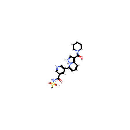 CS(=O)(=O)NC(=O)c1cncc(-c2cccc3c(C(=O)N4CCCCC4)cnn23)c1